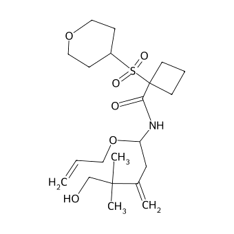 C=CCOC(CC(=C)C(C)(C)CO)NC(=O)C1(S(=O)(=O)C2CCOCC2)CCC1